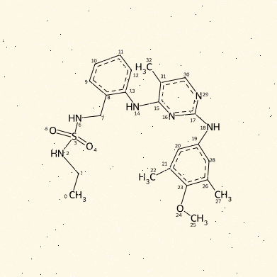 CCNS(=O)(=O)NCc1ccccc1Nc1nc(Nc2cc(C)c(OC)c(C)c2)ncc1C